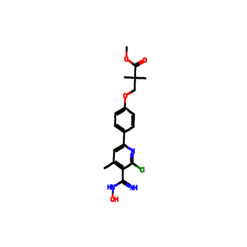 COC(=O)C(C)(C)COc1ccc(-c2cc(C)c(C(=N)NO)c(Cl)n2)cc1